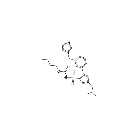 CCCCOC(=O)NS(=O)(=O)c1sc(CC(C)C)cc1-c1cccc(Cn2ccnc2)c1